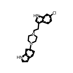 Clc1ccc2c(CCN3CCN(c4ccc5cc[nH]c5c4)CC3)c[nH]c2c1